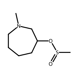 CN1CCCCC(OS(C)=O)C1